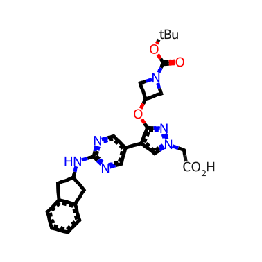 CC(C)(C)OC(=O)N1CC(Oc2nn(CC(=O)O)cc2-c2cnc(NC3Cc4ccccc4C3)nc2)C1